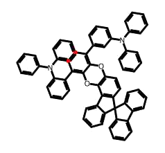 c1ccc(N(c2ccccc2)c2cccc(-c3ccc(-c4ccccc4N(c4ccccc4)c4ccccc4)c4c3Oc3ccc5c(c3O4)-c3ccccc3C53c4ccccc4-c4ccccc43)c2)cc1